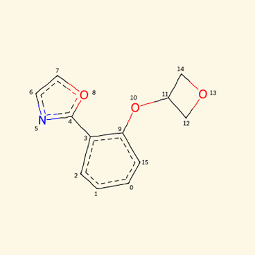 c1ccc(-c2ncco2)c(OC2COC2)c1